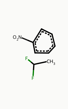 CC(F)F.O=[N+]([O-])c1ccccc1